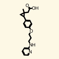 CC1(CC(=O)O)CC1c1ccc(OCCCNc2ccccn2)cc1